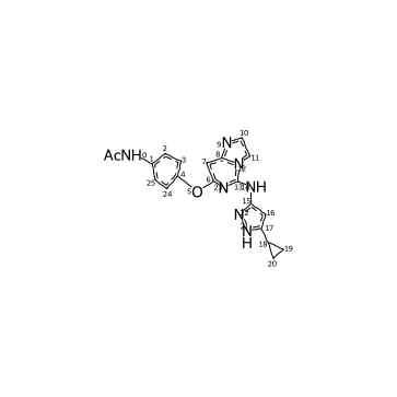 CC(=O)Nc1ccc(Oc2cc3nccn3c(Nc3cc(C4CC4)[nH]n3)n2)cc1